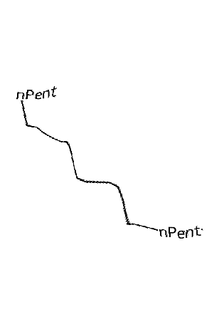 [CH2]CCC[CH]CCCCCCCCCC